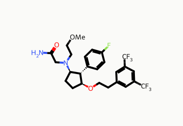 COCCN(CC(N)=O)[C@@H]1CC[C@H](OCCc2cc(C(F)(F)F)cc(C(F)(F)F)c2)[C@H]1c1ccc(F)cc1